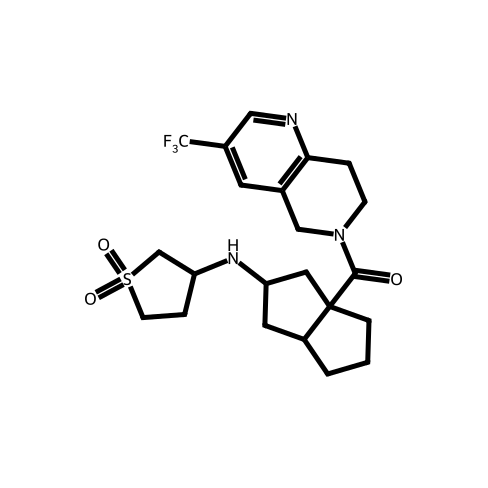 O=C(N1CCc2ncc(C(F)(F)F)cc2C1)C12CCCC1CC(NC1CCS(=O)(=O)C1)C2